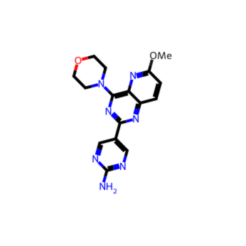 COc1ccc2nc(-c3cnc(N)nc3)nc(N3CCOCC3)c2n1